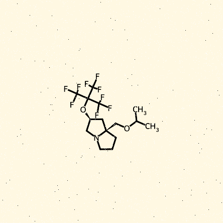 CC(C)OC[C@@]12CCCN1C[C@@H](OC(C(F)(F)F)(C(F)(F)F)C(F)(F)F)C2